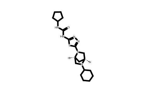 O=C(Nc1nnc(N2C[C@@H]3C[C@H]2CN3C2CCCCC2)s1)NC1CCCC1